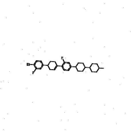 CCc1ccc(C2CC=C(c3ccc(C4CCC(C5CCC(C)CC5)CC4)cc3F)CC2)cc1F